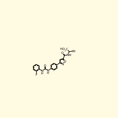 CC(C)C(NC(=O)c1cc(-c2ccc(NC(=O)Nc3ccccc3F)cc2)no1)C(=O)O